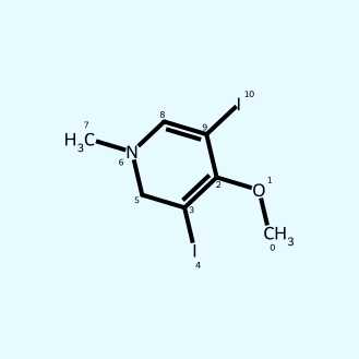 COC1=C(I)CN(C)C=C1I